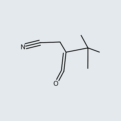 CC(C)(C)C(=C=O)CC#N